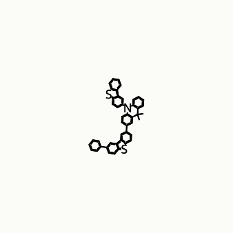 CC1(C)c2ccccc2N(c2ccc3sc4ccccc4c3c2)c2ccc(-c3ccc4sc5ccc(-c6ccccc6)cc5c4c3)cc21